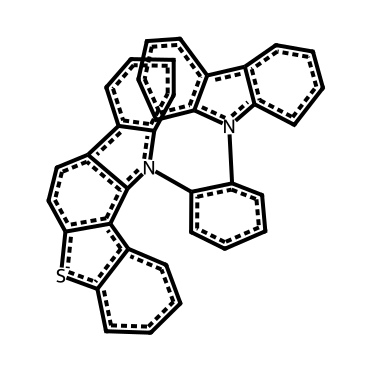 c1ccc(-n2c3ccccc3c3ccc4sc5ccccc5c4c32)c(-n2c3ccccc3c3ccccc32)c1